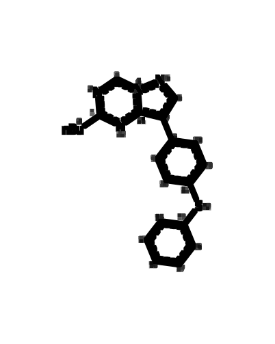 CCCCc1n[c]n2ncc(-c3ccc(Sc4ccccc4)cc3)c2n1